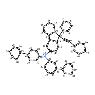 C(#CC1(c2ccccc2)c2ccccc2-c2cc(N(c3ccc(-c4ccccc4)cc3)c3cccc(-c4ccccc4)c3)ccc21)c1ccccc1